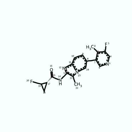 Cc1c(F)cncc1-c1ccc2nc(NC(=O)[C@@H]3CC3F)c(C)n2c1